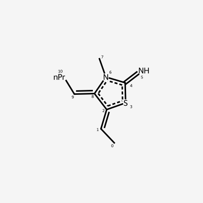 C/C=c1\sc(=N)n(C)\c1=C/CCC